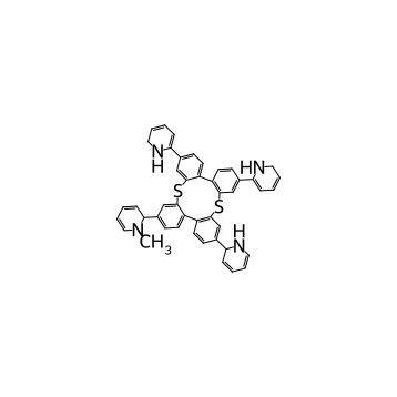 CN1C=CC=CC1c1ccc2c(c1)Sc1cc(C3=CC=CCN3)ccc1-c1ccc(C3=CC=CCN3)cc1Sc1cc(C3C=CC=CN3)ccc1-2